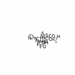 CCCCCCCN(CCc1csc(SC(C)(C)C(=O)O)n1)c1cccnc1.O=C(O)C(F)(F)F